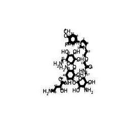 COc1ccc(N2C=CN(CCOCC(=O)NC[C@H]3O[C@H](O[C@@H]4[C@@H](O)[C@H](O[C@H]5O[C@H](CN)[C@@H](O)[C@H](O)[C@H]5O)[C@@H](N)C[C@H]4NC(=O)[C@@H](O)CCN)[C@H](O)[C@@H](N)[C@@H]3O)C2)cc1F